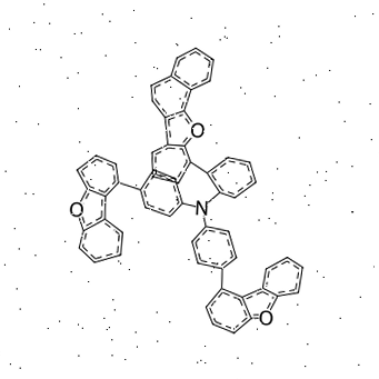 c1ccc(N(c2ccc(-c3cccc4oc5ccccc5c34)cc2)c2ccc(-c3cccc4oc5ccccc5c34)cc2)c(-c2cccc3c2oc2c4ccccc4ccc32)c1